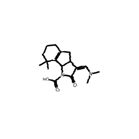 CN(C)C=C1C(=O)N(C(=O)O)C2C3=C(CCCC3(C)C)CC12